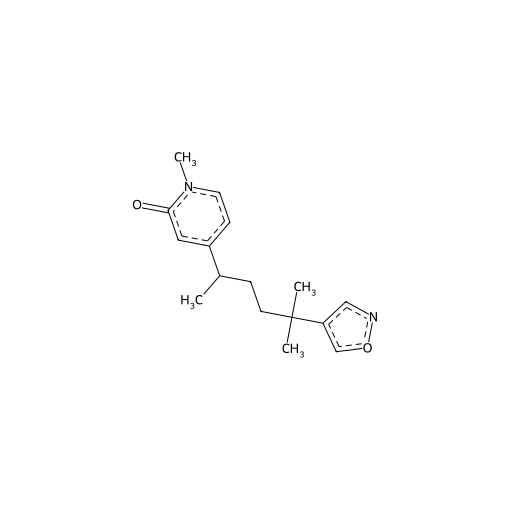 CC(CCC(C)(C)c1cnoc1)c1ccn(C)c(=O)c1